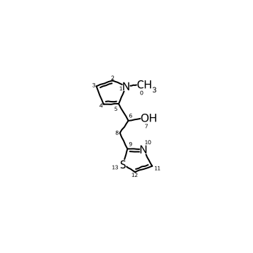 Cn1cccc1C(O)Cc1nccs1